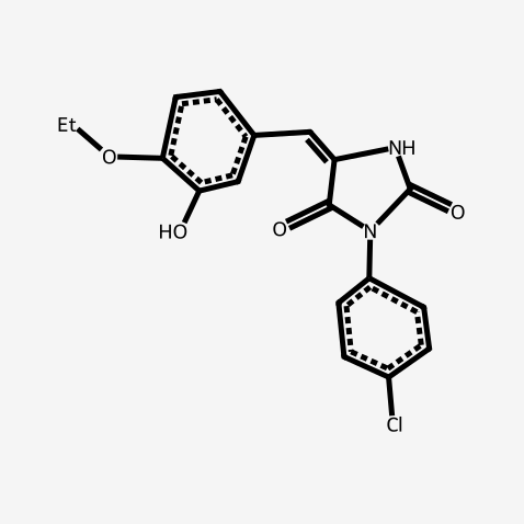 CCOc1ccc(/C=C2/NC(=O)N(c3ccc(Cl)cc3)C2=O)cc1O